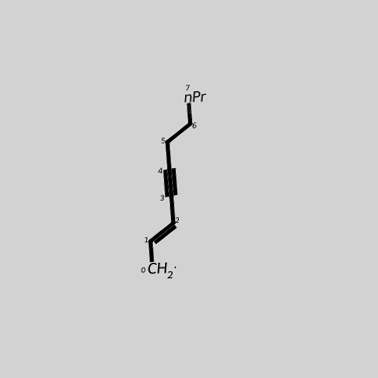 [CH2]C=CC#CCCCCC